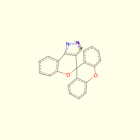 c1ccc2c(c1)OC1(c3ccccc3Oc3ccccc31)c1c-2nn2ccccc12